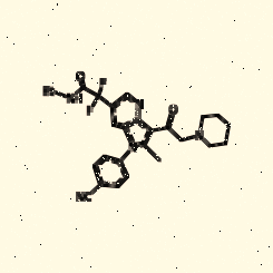 CCNC(=O)C(F)(F)c1cnc2c(C(=O)CN3CCCCC3)c(C)n(-c3ccc(C#N)cc3)c2c1